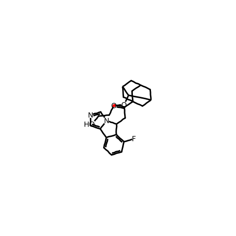 O=C(CC1c2c(F)cccc2-c2cncn21)C12CC3CC(C1)C(OCCCO)C(C3)C2